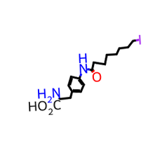 NC(Cc1ccc(NC(=O)CCCCCCCI)cc1)C(=O)O